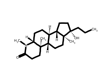 CCC[C@]1(O)CC[C@H]2[C@@H]3CC[C@H]4N(C)C(=O)CC[C@]4(C)[C@H]3CC[C@@]21C